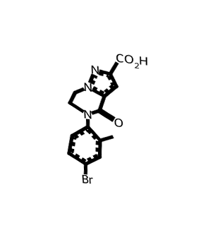 Cc1cc(Br)ccc1N1CCn2nc(C(=O)O)cc2C1=O